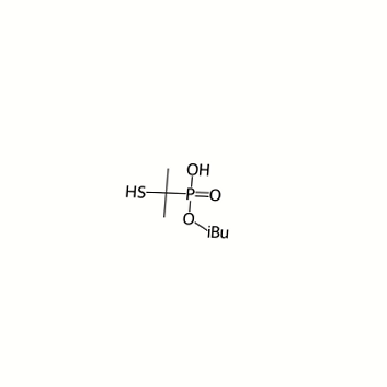 CCC(C)OP(=O)(O)C(C)(C)S